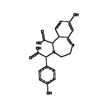 O=C(O)C(c1ccc(O)cc1)N1CCN=C2C=C(O)C=CC2C1C(=O)O